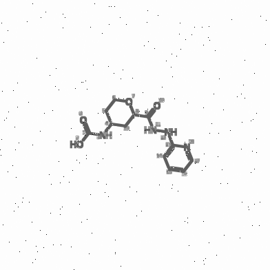 O=C(O)NC1CCOC(C(=O)NNc2ccccn2)C1